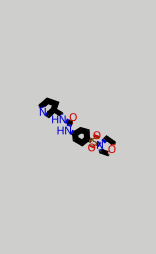 O=C(NCc1cccnc1)Nc1ccc(S(=O)(=O)N2CCOCC2)cc1